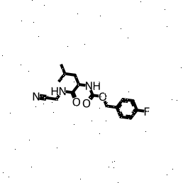 CC(C)CC(NC(=O)OCc1ccc(F)cc1)C(=O)NCC#N